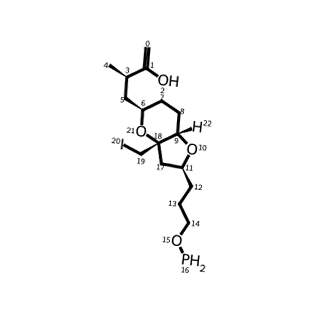 C=C(O)[C@H](C)C[C@H]1CC[C@@H]2O[C@@H](CCCOP)C[C@]2(CI)O1